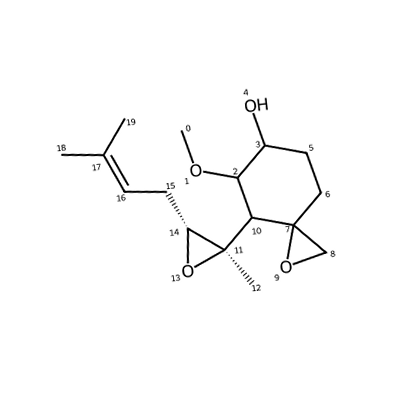 COC1C(O)CCC2(CO2)C1[C@@]1(C)O[C@@H]1CC=C(C)C